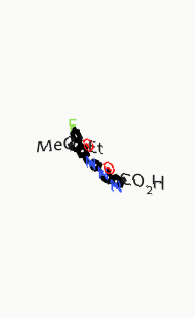 CCOc1cc(CN2CCC(N3CCc4ncc(C(=O)O)cc4C3=O)C2)cc(COC)c1-c1ccc(F)cc1